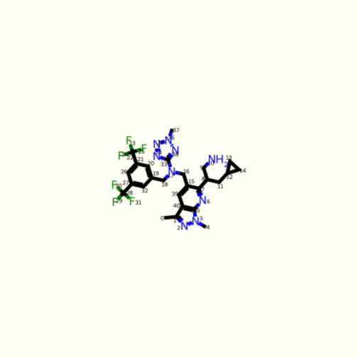 Cc1nn(C)c2nc(C(CN)CC3CC3)c(CN(Cc3cc(C(F)(F)F)cc(C(F)(F)F)c3)c3nnn(C)n3)cc12